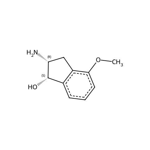 COc1cccc2c1C[C@@H](N)[C@H]2O